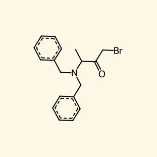 CC(C(=O)CBr)N(Cc1ccccc1)Cc1ccccc1